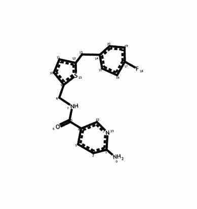 Nc1ccc(C(=O)NCc2ccc(Cc3ccc(F)cc3)s2)cn1